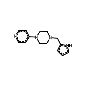 c1c[nH]c(CN2CCN(c3ccncc3)CC2)c1